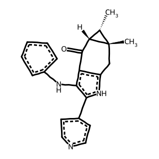 C[C@H]1[C@H]2C(=O)c3c([nH]c(-c4ccncc4)c3Nc3ccccc3)C[C@]21C